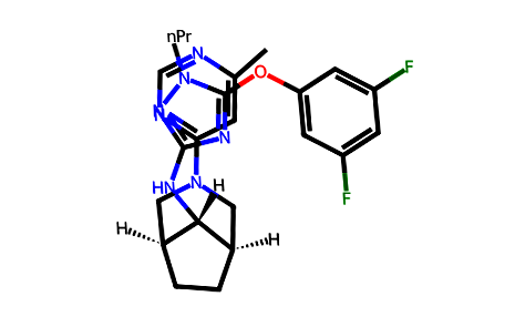 CCCn1nc(N[C@@H]2[C@@H]3CC[C@H]2CN(c2cc(C)ncn2)C3)nc1Oc1cc(F)cc(F)c1